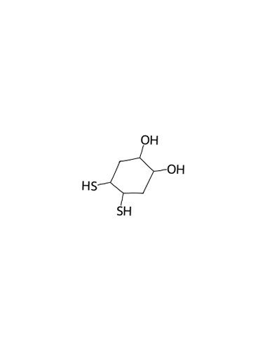 OC1CC(S)C(S)CC1O